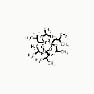 CC(C)C[Si]1(OC(C)C)O[Si](CC(C)C)(OC(C)C)O[Si](CC(C)C)(OC(C)C)O1